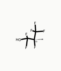 C[C@](F)(C(O)(F)F)C(F)(F)F